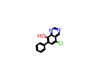 Oc1c(-c2ccccc2)cc(Cl)c2cncnc12